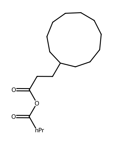 CCCC(=O)OC(=O)CCC1CCCCCCCCCC1